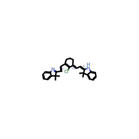 CC1(C)C(/C=C/C2=C(Cl)C(=C/C=C3/Nc4ccccc4C3(C)C)/CCC2)=Nc2ccccc21